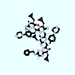 C[C@@H](OC(=O)[C@H](CC1CC1)N(C)C(=O)[C@@H](Cc1ccc(N2CCOCC2)cc1)OC(=O)[C@H](CC1CC1)N(C)C(=O)[C@@H](C)OC(=O)[C@H](CC1CC1)N(C)C(=O)[C@@H](Cc1ccc(N2CCOCC2)cc1)OC(=O)[C@H](CC1CC1)N(C)C(=O)OC(C)(C)C)C(=O)OCc1ccccc1